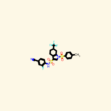 Cc1ccc(S(=O)(=O)n2cc(S(=O)(=O)Nc3ccc(C#N)cc3F)c3c2CC(C(F)(F)F)CC3)cc1